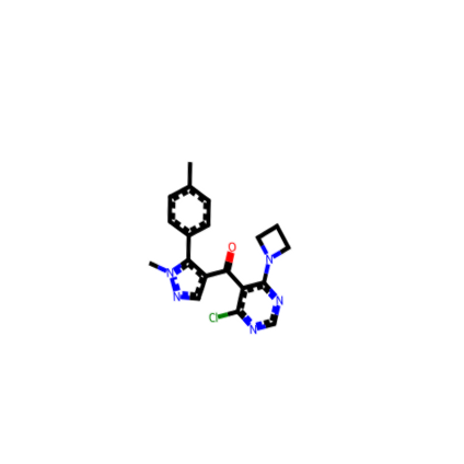 Cc1ccc(-c2c(C(=O)c3c(Cl)ncnc3N3CCC3)cnn2C)cc1